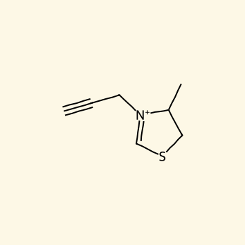 C#CC[N+]1=CSCC1C